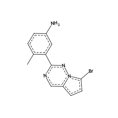 Cc1ccc(N)cc1-c1ncc2ccc(Br)n2n1